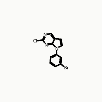 Clc1ncc2ccn(-c3cccc(Br)c3)c2n1